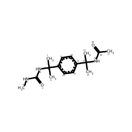 CNC(=O)NC(C)(C)c1ccc(C(C)(C)NC(C)=O)cc1